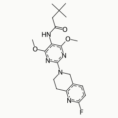 COc1nc(N2CCc3nc(F)ccc3C2)nc(OC)c1NC(=O)CC(C)(C)C